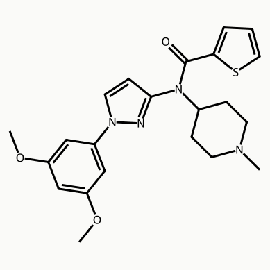 COc1cc(OC)cc(-n2ccc(N(C(=O)c3cccs3)C3CCN(C)CC3)n2)c1